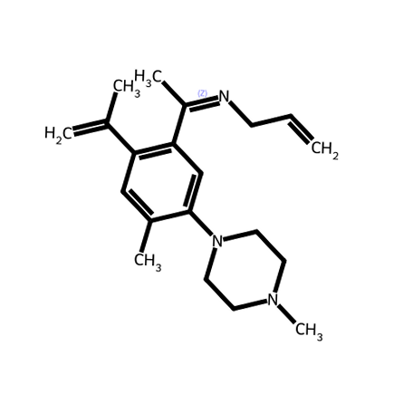 C=CC/N=C(/C)c1cc(N2CCN(C)CC2)c(C)cc1C(=C)C